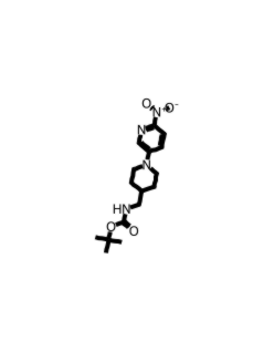 CC(C)(C)OC(=O)NCC1CCN(c2ccc([N+](=O)[O-])nc2)CC1